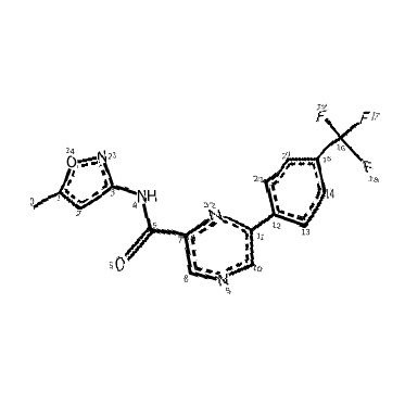 Cc1cc(NC(=O)c2cncc(-c3ccc(C(F)(F)F)cc3)n2)no1